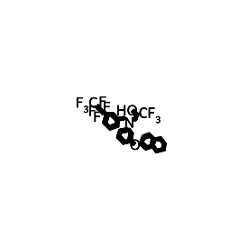 O[C@H](CN(Cc1cccc(C(F)(F)C(F)(F)C(F)(F)F)c1)c1cccc(Oc2ccc3c(c2)CCCC3)c1)C(F)(F)F